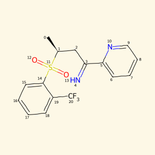 C[C@@H](CC(=N)c1ccccn1)S(=O)(=O)c1ccccc1C(F)(F)F